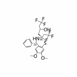 COc1cc2c(cc1OC)[C@H](c1ccccc1)N[C@](CC(O)CC(F)(F)F)(CC(F)(F)F)CS2